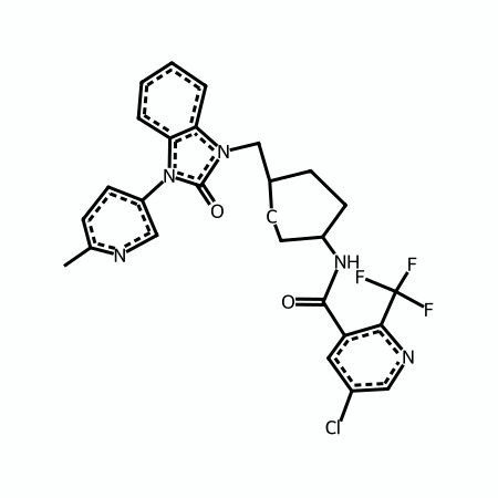 Cc1ccc(-n2c(=O)n(CC3CCC(NC(=O)c4cc(Cl)cnc4C(F)(F)F)CC3)c3ccccc32)cn1